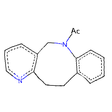 CC(=O)N1Cc2cccnc2CCc2ccccc21